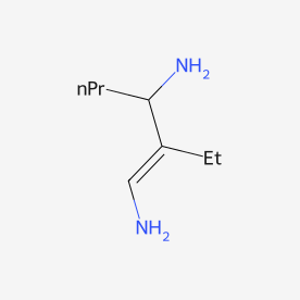 CCCC(N)C(=CN)CC